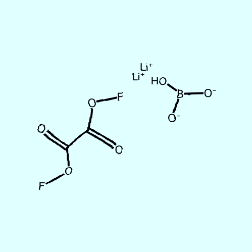 O=C(OF)C(=O)OF.[Li+].[Li+].[O-]B([O-])O